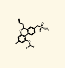 C=CCC1Oc2cc(C)cc(OC(F)F)c2-c2ccc(CS(N)(=O)=O)cc21